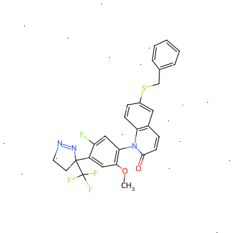 COc1cc(C2(C(F)(F)F)CCN=N2)c(F)cc1-n1c(=O)ccc2cc(SCc3ccccc3)ccc21